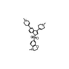 CN1CC=C(c2ccc3c(c2)c(C2=CCN(C)CC2)cn3S(=O)(=O)c2ccc3c(c2)OCCN3C)CC1